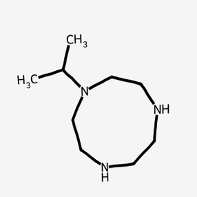 CC(C)N1CCNCCNCC1